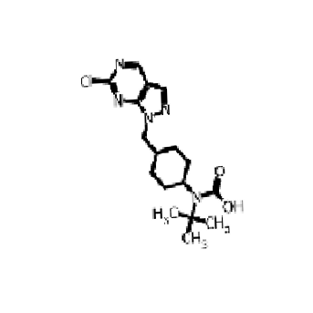 CC(C)(C)N(C(=O)O)C1CCC(Cn2ncc3cnc(Cl)nc32)CC1